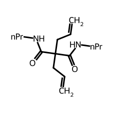 C=CCC(CC=C)(C(=O)NCCC)C(=O)NCCC